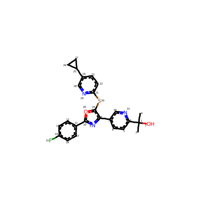 CC(C)(O)c1ccc(-c2nc(-c3ccc(F)cc3)oc2Sc2ccc(C3CC3)cn2)cn1